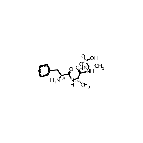 C[C@H](NC(=O)[C@@H](N)Cc1ccccc1)C(=O)N[C@@H](C)P(=O)(O)O